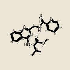 COC(=O)[C@@H](Nc1nc(CNC(=O)c2ccccn2)nc2ccccc12)C(C)C